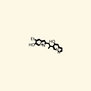 CCc1cc2cc(CC(C)c3cn4nccc4cc3O)nn2cc1O